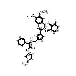 COc1ccc([C@H](Cc2c(Cl)cncc2Cl)OC(=O)c2ccc(CNC(C(=O)O[C@@H]3CCN(C)C3)c3ccccc3)s2)cc1OC